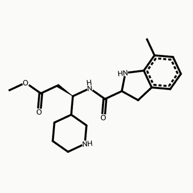 COC(=O)C[C@@H](NC(=O)C1Cc2cccc(C)c2N1)C1CCCNC1